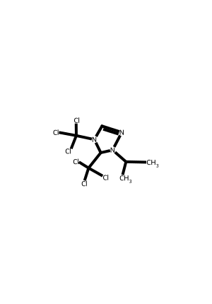 CC(C)N1N=CN(C(Cl)(Cl)Cl)C1C(Cl)(Cl)Cl